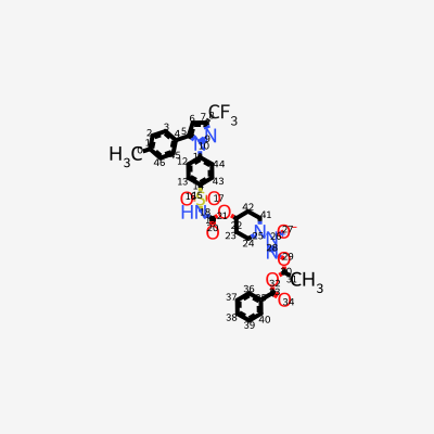 Cc1ccc(-c2cc(C(F)(F)F)nn2-c2ccc(S(=O)(=O)NC(=O)OC3CCN([N+]([O-])=NOC(C)OC(=O)c4ccccc4)CC3)cc2)cc1